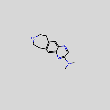 CN(C)c1cnc2cc3c(cc2n1)CCNCC3